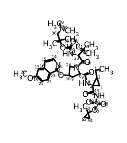 CCC1C[C@]1(NC(=O)[C@@H]1CC(Oc2nccc3cc(OC)ccc23)CN1C(=O)[C@@H](NC(=O)OC(C)(C)CN(C)C)C(C)(C)C)C(=O)NS(=O)(=O)OC1(C)CC1